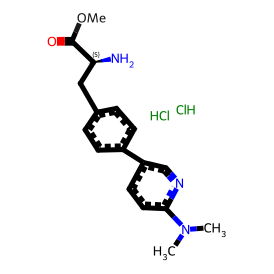 COC(=O)[C@@H](N)Cc1ccc(-c2ccc(N(C)C)nc2)cc1.Cl.Cl